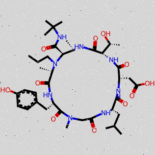 CCCN1[C@@H](C)C(=O)N[C@@H](Cc2ccc(O)cc2)C(=O)N(C)CC(=O)N[C@@H](CC(C)C)C(=O)N[C@@H](CC(=O)O)C(=O)N[C@@H]([C@@H](C)O)C(=O)N[C@@H](C)[C@@H]1C(=O)NC(C)(C)C